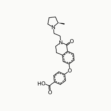 C[C@@H]1CCCN1CCN1CCc2cc(Oc3ccc(C(=O)O)cc3)ccc2C1=O